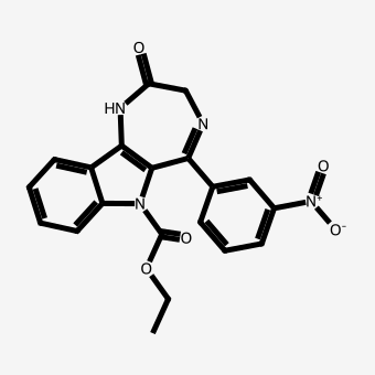 CCOC(=O)n1c2c(c3ccccc31)NC(=O)CN=C2c1cccc([N+](=O)[O-])c1